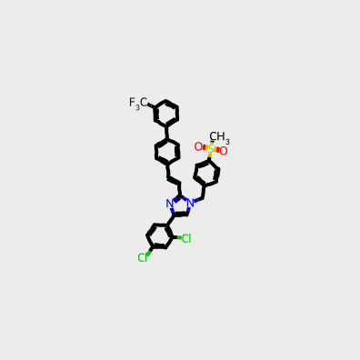 CS(=O)(=O)c1ccc(Cn2cc(-c3ccc(Cl)cc3Cl)nc2/C=C/c2ccc(-c3cccc(C(F)(F)F)c3)cc2)cc1